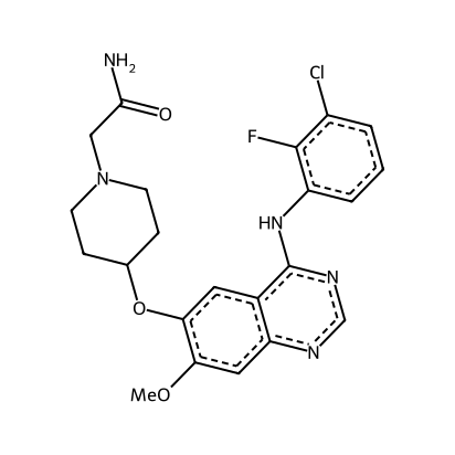 COc1cc2ncnc(Nc3cccc(Cl)c3F)c2cc1OC1CCN(CC(N)=O)CC1